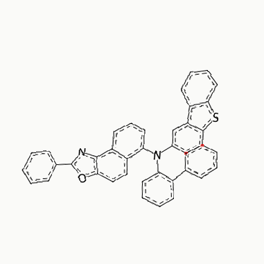 c1ccc(-c2nc3c(ccc4c(N(c5ccc6sc7ccccc7c6c5)c5ccccc5-c5ccccc5)cccc43)o2)cc1